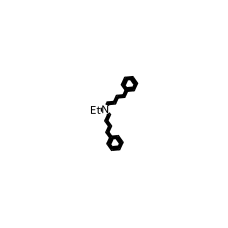 CCN(CCCCc1ccccc1)CCCCc1ccccc1